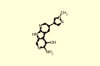 Cn1cc(-c2cnc3[nH]c4cnc(N)c(O)c4c3c2)cn1